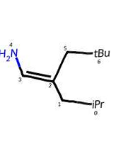 CC(C)C/C(=C/N)CC(C)(C)C